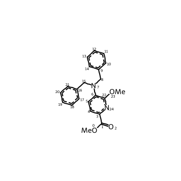 COC(=O)c1ccc(N(Cc2ccccc2)Cc2ccccc2)c(OC)n1